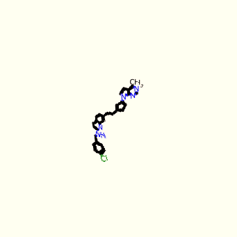 Cc1ncnc2c1ccn2C1CCC(CCc2ccc3ccc(NCc4ccc(Cl)cc4)nc3c2)C1